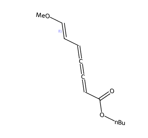 CCCCOC(=O)C=C=C=C/C=C/OC